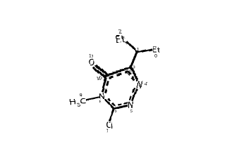 CCC(CC)c1nnc(Cl)n(C)c1=O